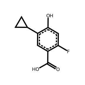 O=C(O)c1cc(C2CC2)c(O)cc1F